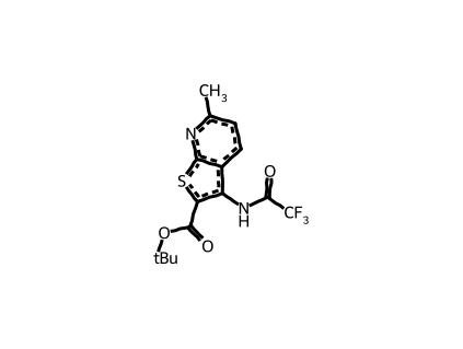 Cc1ccc2c(NC(=O)C(F)(F)F)c(C(=O)OC(C)(C)C)sc2n1